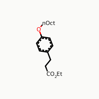 CCCCCCCCOc1ccc(CCC(=O)OCC)cc1